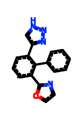 [c]1ccc(-c2c[nH]nn2)c(-c2ccccc2)c1-c1ncco1